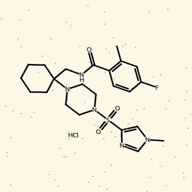 Cc1cc(F)ccc1C(=O)NCC1(N2CCN(S(=O)(=O)c3cn(C)cn3)CC2)CCCCC1.Cl